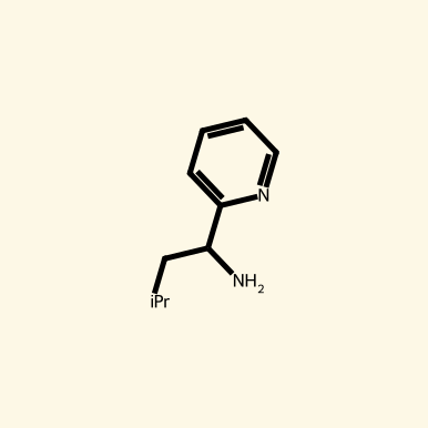 CC(C)CC(N)c1ccccn1